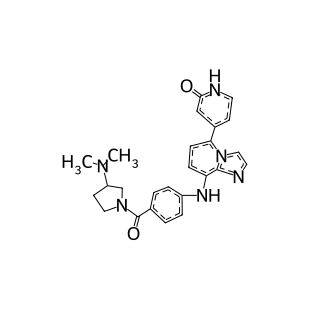 CN(C)C1CCN(C(=O)c2ccc(Nc3ccc(-c4cc[nH]c(=O)c4)n4ccnc34)cc2)C1